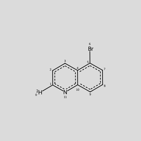 [2H]c1ccc2c(Br)cccc2n1